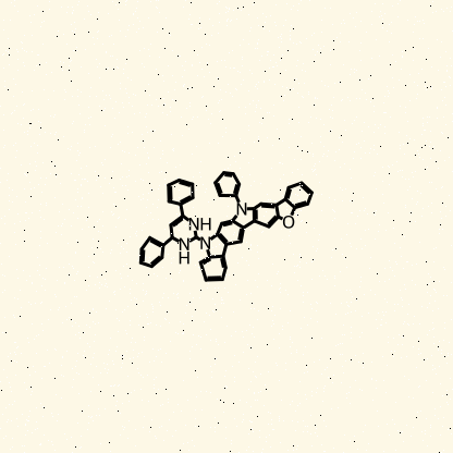 C1=C(c2ccccc2)NC(n2c3ccccc3c3cc4c5cc6oc7ccccc7c6cc5n(-c5ccccc5)c4cc32)NC1c1ccccc1